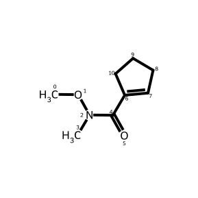 CON(C)C(=O)C1=CCCC1